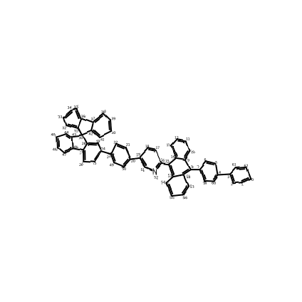 c1ccc(-c2ccc(-c3c4ccccc4c(-c4ccc(-c5ccc(-c6ccc7c(c6)C6(c8ccccc8-c8ccccc86)c6ccccc6-7)cc5)cn4)c4ccccc34)cc2)cc1